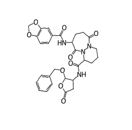 O=C1CC(NC(=O)C2CCCN3C(=O)CCC(NC(=O)c4ccc5c(c4)OCO5)C(=O)N23)C(OCc2ccccc2)O1